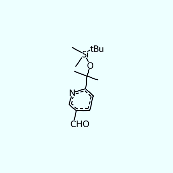 CC(C)(O[Si](C)(C)C(C)(C)C)c1ccc(C=O)cn1